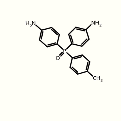 Cc1ccc(P(=O)(c2ccc(N)cc2)c2ccc(N)cc2)cc1